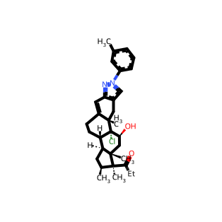 CCC(=O)[C@@]1(C)[C@@H](C)C[C@H]2[C@@H]3CCC4=Cc5nn(-c6cccc(C)c6)cc5C[C@]4(C)[C@@]3(Cl)[C@@H](O)C[C@@]21C